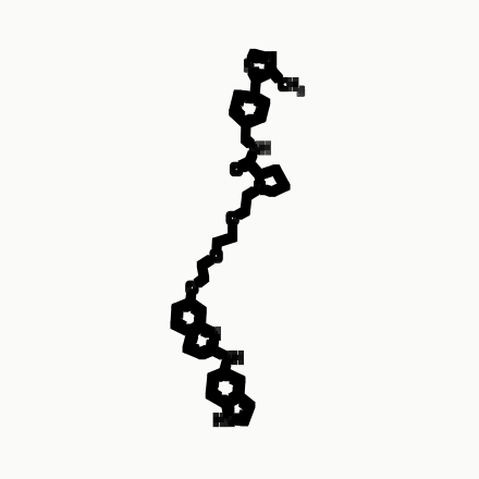 Cc1ncsc1-c1ccc(CNC(=O)C2CCCN2CCOCCOCCOc2ccc3ccc(Nc4ccc5[nH]ccc5c4)nc3c2)cc1